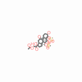 CC(=O)OCC(=O)[C@@]1(O)CC[C@H]2[C@@H]3C(OS(C)(=O)=O)C(OS(C)(=O)=O)C4=CC(=O)CC[C@]4(C)[C@H]3C(=O)C[C@@]21C